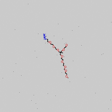 COCCOCOCCOCCOCC(C)(COCC=O)COCCOCCOCCN=[N+]=[N-]